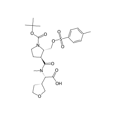 Cc1ccc(S(=O)(=O)OC[C@@H]2[C@@H](C(=O)N(C)[C@H](C(=O)O)[C@H]3CCOC3)CCN2C(=O)OC(C)(C)C)cc1